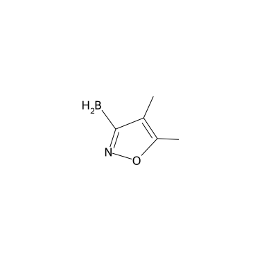 Bc1noc(C)c1C